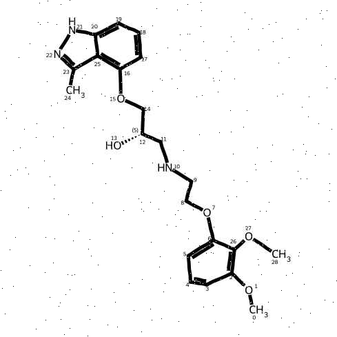 COc1cccc(OCCNC[C@H](O)COc2cccc3[nH]nc(C)c23)c1OC